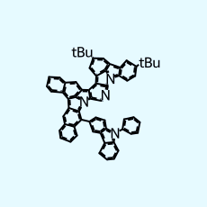 CC(C)(C)c1ccc2c(c1)c1cc(C(C)(C)C)cc3c4c5c6cc7ccccc7c7c8cc9ccccc9c(-c9ccc%10c(c9)c9ccccc9n%10-c9ccccc9)c8n(c5cnc4n2c13)c67